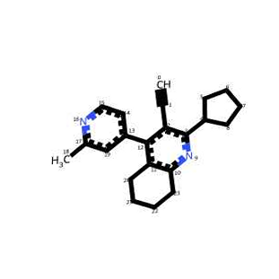 C#Cc1c(C2CCCC2)nc2c(c1-c1ccnc(C)c1)CCCC2